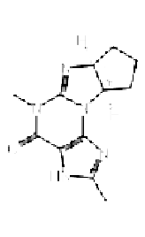 Cc1nc2c([nH]1)C(=O)N(C)C1=N[C@H]3CCC[C@H]3N12